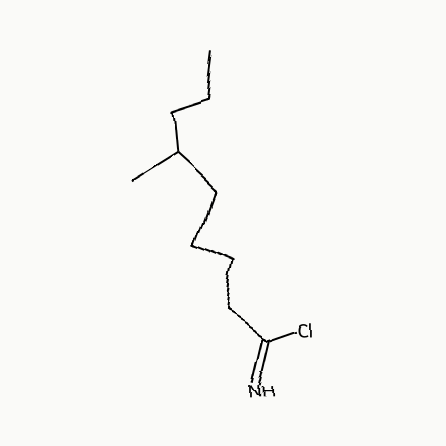 CCCC(C)CCCCC(=N)Cl